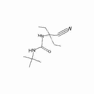 CCC(C#N)(CC)NC(=O)NC(C)(C)C